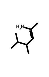 C/C(N)=C/C(C)C(C)C